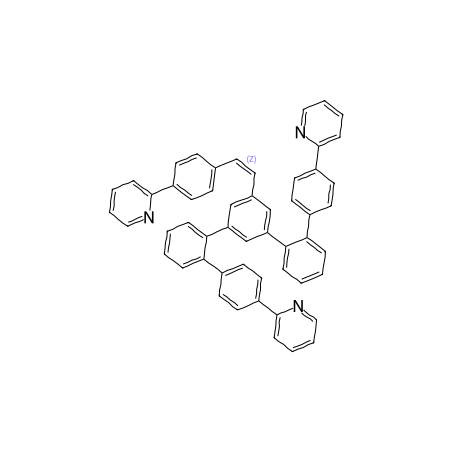 C(=C/c1cc(-c2ccccc2-c2ccc(-c3ccccn3)cc2)cc(-c2ccccc2-c2ccc(-c3ccccn3)cc2)c1)/c1ccc(-c2ccccn2)cc1